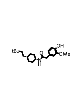 COc1cc(CC(=O)N[C@H]2CC[C@H](CCC(C)(C)C)CC2)ccc1O